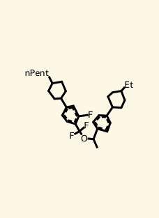 CCCCCC1CCC(c2ccc(C(F)(F)OC(C)c3ccc(C4CCC(CC)CC4)cc3)c(F)c2)CC1